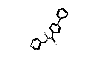 O=C(c1ccc(-c2ccccc2)cc1)[NH+]([O-])Cc1ccncc1